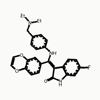 CCN(CC)Cc1ccc(NC(=C2C(=O)Nc3cc(F)ccc32)c2ccc3c(c2)OC=CO3)cc1